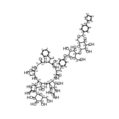 CC(c1ccccc1)C1NC(=O)CNC(=O)C(CO)NC(=O)C(C(O)C2CNC(=N)N2C2OC(CO)C(O)C(O)C2O)NC(=O)C(C(O)C2CNC(=N)N2)NC(=O)C(Cc2ccc(OC3OC(CO)C(OC4OC5COC(c6ccc(-c7cccs7)cc6)OC5C(O)C4O)C(O)C3O)cc2)NC1=O